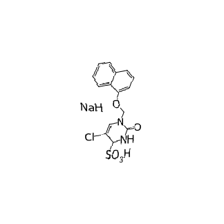 O=C1NC(S(=O)(=O)O)C(Cl)=CN1COc1cccc2ccccc12.[NaH]